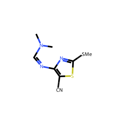 CSc1nc(/N=C\N(C)C)c(C#N)s1